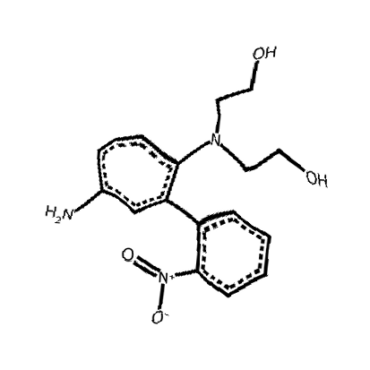 Nc1ccc(N(CCO)CCO)c(-c2ccccc2[N+](=O)[O-])c1